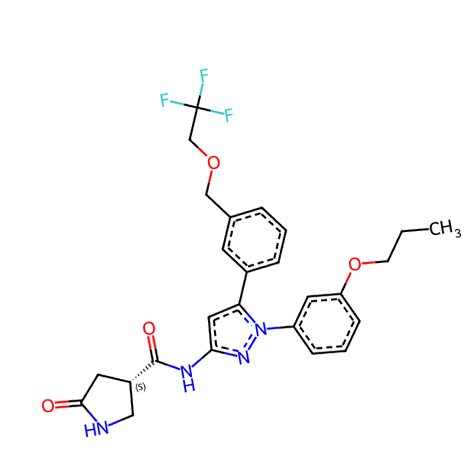 CCCOc1cccc(-n2nc(NC(=O)[C@@H]3CNC(=O)C3)cc2-c2cccc(COCC(F)(F)F)c2)c1